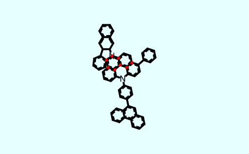 C1=c2ccccc2=CC2C1c1ccccc1N2c1ccccc1-c1ccccc1N(c1ccc(-c2cc3ccccc3c3ccccc23)cc1)c1ccc(-c2ccccc2)cc1-c1ccccc1